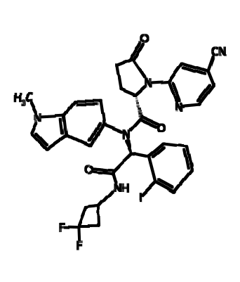 Cn1ccc2cc(N(C(=O)[C@@H]3CCC(=O)N3c3cc(C#N)ccn3)[C@H](C(=O)NC3CC(F)(F)C3)c3ccccc3I)ccc21